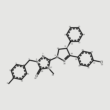 Cc1ccc(Cn2nc(N3C[C@@H](c4ccccc4)C(c4ccc(Cl)cc4)=N3)n(C)c2=O)cc1